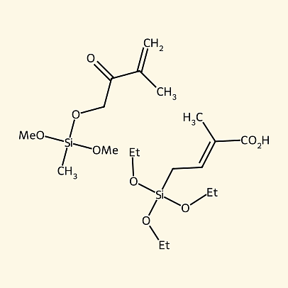 C=C(C)C(=O)CO[Si](C)(OC)OC.CCO[Si](CC=C(C)C(=O)O)(OCC)OCC